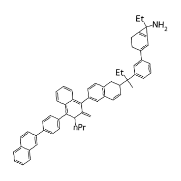 C=C1C(c2ccc3c(c2)C=CC(C(C)(CC)c2cccc(C4=CC5=C(CC4)C5(N)CC)c2)C3)=c2ccccc2=C(c2ccc(-c3ccc4ccccc4c3)cc2)C1CCC